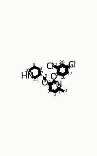 Cc1ccc(OC[C@H]2CCCNC2)c(Oc2ccc(Cl)cc2Cl)n1